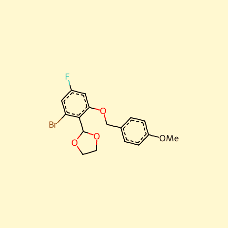 COc1ccc(COc2cc(F)cc(Br)c2C2OCCO2)cc1